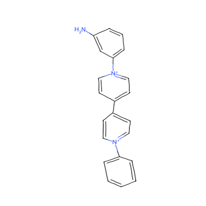 Nc1cccc(-[n+]2ccc(-c3cc[n+](-c4ccccc4)cc3)cc2)c1